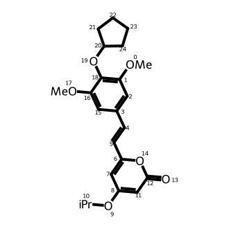 COc1cc(C=Cc2cc(OC(C)C)cc(=O)o2)cc(OC)c1OC1CCCC1